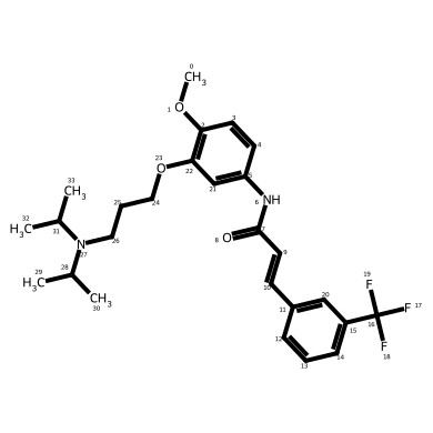 COc1ccc(NC(=O)C=Cc2cccc(C(F)(F)F)c2)cc1OCCCN(C(C)C)C(C)C